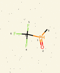 C[PH](=O)C(F)(F)F